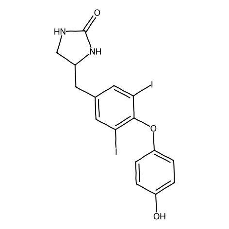 O=C1NCC(Cc2cc(I)c(Oc3ccc(O)cc3)c(I)c2)N1